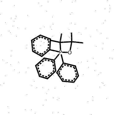 CC1(C)OP(c2ccccc2)(c2ccccc2)(c2ccccc2)C1(C)C